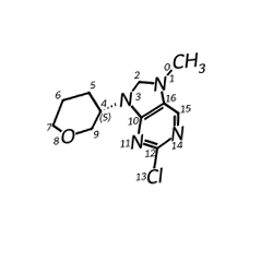 CN1CN([C@H]2CCCOC2)c2nc(Cl)ncc21